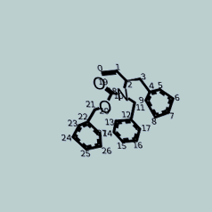 C=C[C@@H](Cc1ccccc1)N(Cc1ccccc1)C(=O)OCc1ccccc1